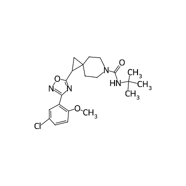 COc1ccc(Cl)cc1-c1noc(C2CC23CCN(C(=O)NC(C)(C)C)CC3)n1